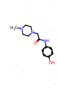 CN1CCN(CC(=O)Nc2ccc(O)cc2)CC1